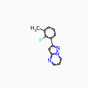 Cc1cccc(-c2cc3ncccn3n2)c1F